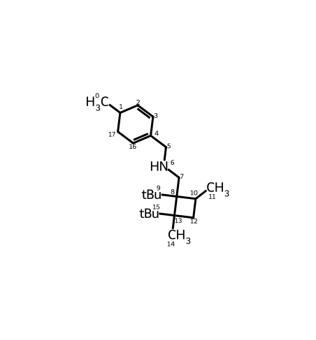 CC1C=CC(CNCC2(C(C)(C)C)C(C)CC2(C)C(C)(C)C)=CC1